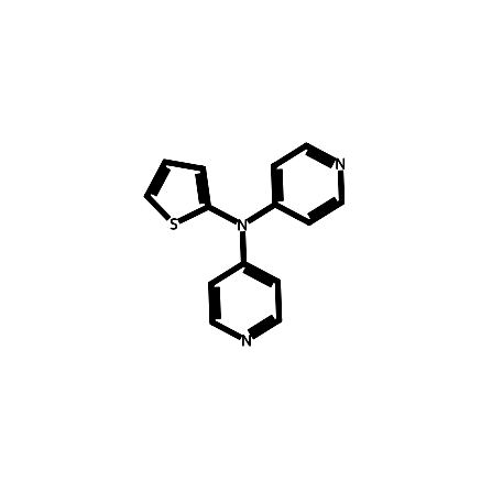 c1csc(N(c2ccncc2)c2ccncc2)c1